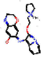 C[N+]1(CCOc2nn3ccccc3c2/N=C2\C=C3OCCN=C3C=C2O)CCCC1